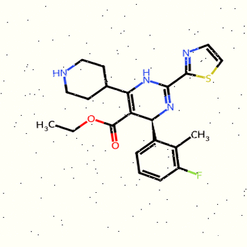 CCOC(=O)C1=C(C2CCNCC2)NC(c2nccs2)=N[C@H]1c1cccc(F)c1C